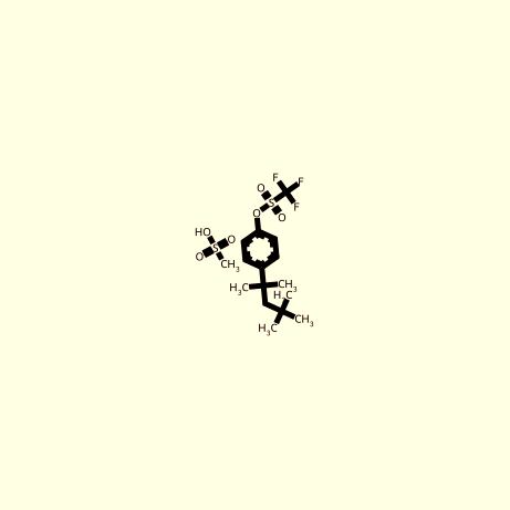 CC(C)(C)CC(C)(C)c1ccc(OS(=O)(=O)C(F)(F)F)cc1.CS(=O)(=O)O